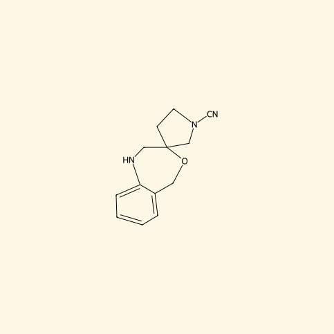 N#CN1CCC2(CNc3ccccc3CO2)C1